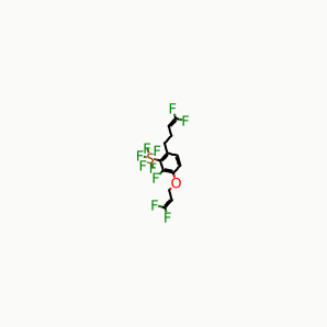 FC(F)=CCCc1ccc(OCC=C(F)F)c(F)c1S(F)(F)(F)(F)F